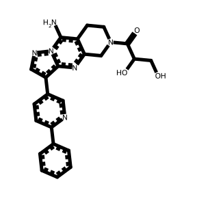 Nc1c2c(nc3c(-c4ccc(-c5ccccc5)nc4)cnn13)CN(C(=O)C(O)CO)CC2